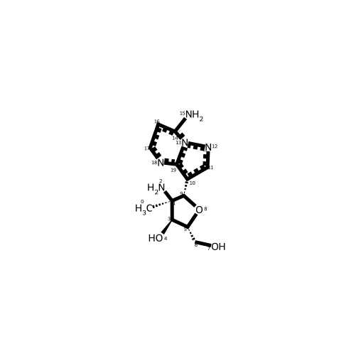 C[C@@]1(N)[C@H](O)[C@@H](CO)O[C@H]1c1cnn2c(N)ccnc12